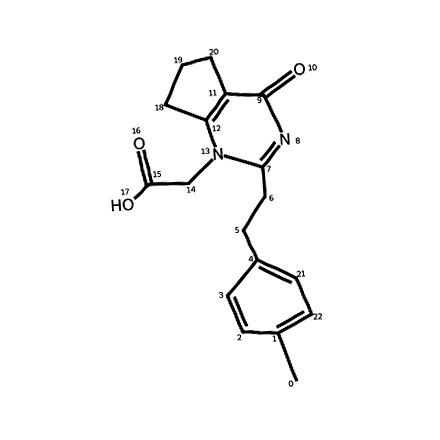 Cc1ccc(CCc2nc(=O)c3c(n2CC(=O)O)CCC3)cc1